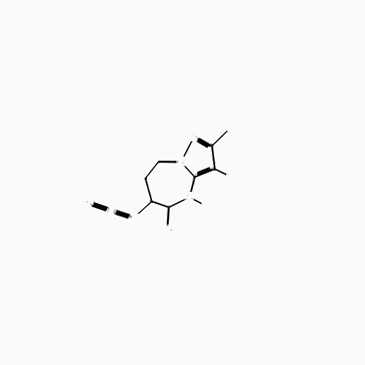 Cc1nn2c(c1C)N(C)C(O)C(N=[N+]=[N-])CC2